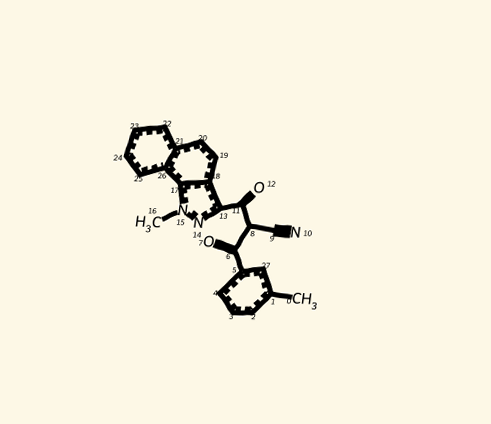 Cc1cccc(C(=O)C(C#N)C(=O)c2nn(C)c3c2ccc2ccccc23)c1